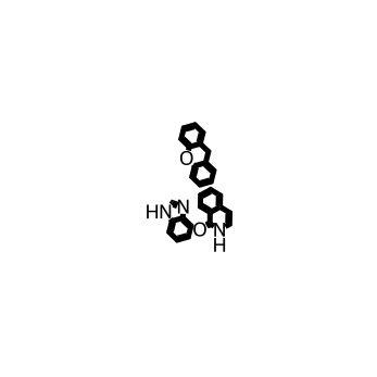 O=c1[nH]ccc2ccccc12.c1ccc2[nH]cnc2c1.c1ccc2c(c1)Cc1ccccc1O2